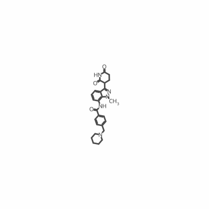 Cn1nc(C2CCC(=O)NC2=O)c2cccc(NC(=O)c3ccc(CN4CCCCC4)cc3)c21